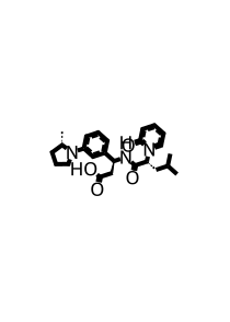 CC(C)C[C@H](C(=O)N[C@@H](CC(=O)O)c1cccc(N2CCC[C@@H]2C)c1)n1ccccc1=O